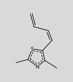 C=C/C=C\c1sc(C)nc1C